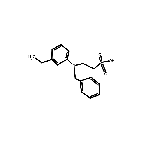 CCc1cccc(N(CCS(=O)(=O)O)Cc2ccccc2)c1